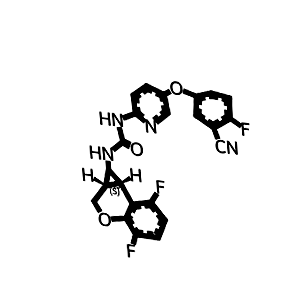 N#Cc1cc(Oc2ccc(NC(=O)NC3[C@H]4COc5c(F)ccc(F)c5[C@@H]34)nc2)ccc1F